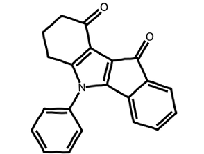 O=C1CCCc2c1c1c(n2-c2ccccc2)-c2ccccc2C1=O